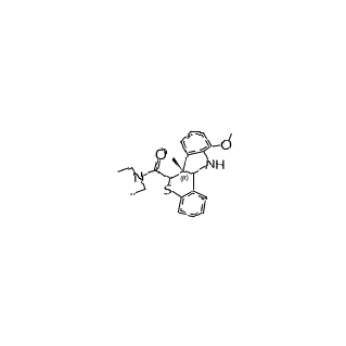 CCN(CC)C(=O)C1Sc2ccccc2C2Nc3c(OC)cccc3[C@@]12C